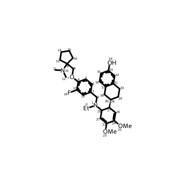 CCN(Cc1ccc(OCC2(N(C)C)CCCC2)c(F)c1)C1C=C(OC)C(OC)=CC1[C@@H]1CCc2cc(O)ccc2C1